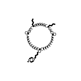 CCCCC1CCCCCCC(CCCC)CCOC(=O)CCCCCCCCCC(OCCCCN2CCN(C)CC2)CCCCCCCCCC(=O)OCC1